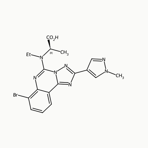 CCN(c1nc2c(Br)cccc2c2nc(-c3cnn(C)c3)nn12)[C@H](C)C(=O)O